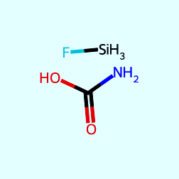 F[SiH3].NC(=O)O